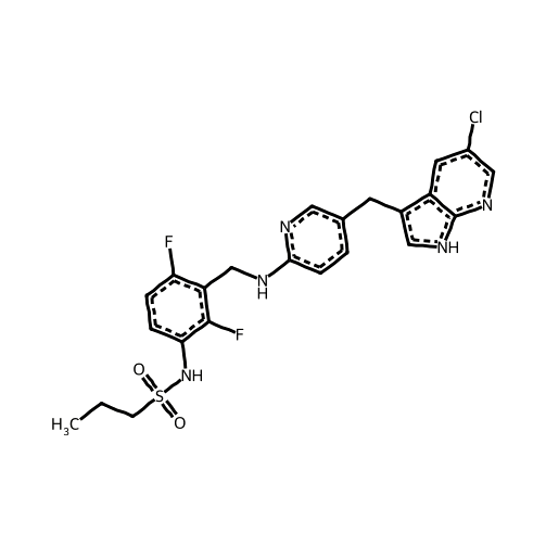 CCCS(=O)(=O)Nc1ccc(F)c(CNc2ccc(Cc3c[nH]c4ncc(Cl)cc34)cn2)c1F